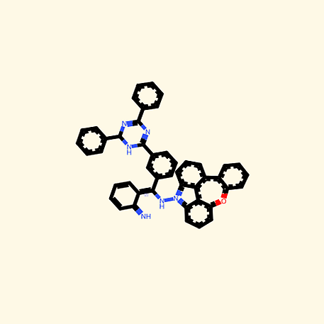 N=C1C=CC=C/C1=C(/Nn1c2cccc3oc4ccccc4c4cccc1c4c32)c1cccc(C2=NC(c3ccccc3)=NC(c3ccccc3)N2)c1